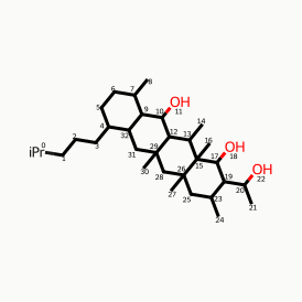 CC(C)CCCC1CCC(C)C2C(O)C3C(C)C4(C)C(O)C(C(C)O)C(C)CC4(C)CC3(C)CC12